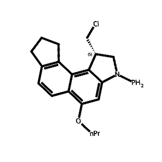 CCCOc1cc2c(c3c4c(ccc13)CCC4)[C@H](CCl)CN2P